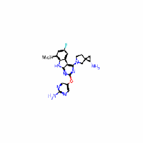 CNc1cc(F)cc2c1[nH]c1nc(Oc3cnc(N)nc3)nc(N3CCC4(C[C@@H]4N)C3)c12